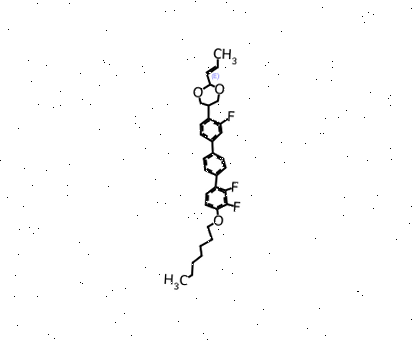 C/C=C/C1OCC(c2ccc(-c3ccc(-c4ccc(OCCCCCCC)c(F)c4F)cc3)cc2F)CO1